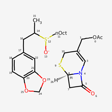 CC(=O)OCC1=CN2C(=O)C[C@H]2SC1.CCCCCCCC[S+]([O-])C(C)Cc1ccc2c(c1)OCO2